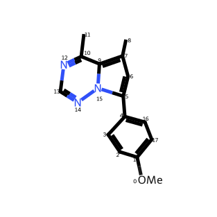 COc1ccc(-c2cc(C)c3c(C)ncnn23)cc1